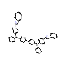 C1=CC(/C=C/c2ccccc2)CC=C1N(c1ccccc1)c1ccc(-c2ccc(N(c3ccccc3)c3ccc(/C=C/c4ccccc4)cc3)cc2)cc1